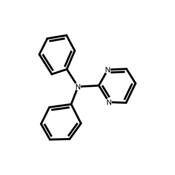 c1ccc(N(c2ccccc2)c2ncccn2)cc1